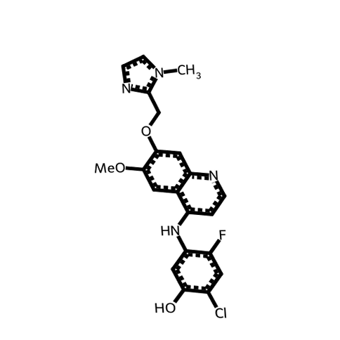 COc1cc2c(Nc3cc(O)c(Cl)cc3F)ccnc2cc1OCc1nccn1C